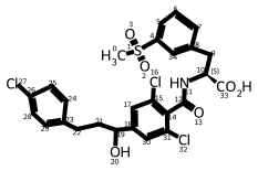 CS(=O)(=O)c1cccc(C[C@H](NC(=O)c2c(Cl)cc(C(O)CCc3ccc(Cl)cc3)cc2Cl)C(=O)O)c1